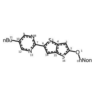 CCCCCCCCCOc1cc2sc(-c3ncc(CCCC)cn3)cc2s1